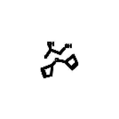 C1=CC(OC2C=CC2)C1.CC(O)CO